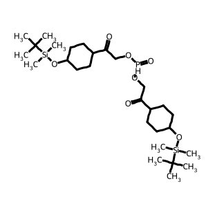 CC(C)(C)[Si](C)(C)OC1CCC(C(=O)CO[PH](=O)OCC(=O)C2CCC(O[Si](C)(C)C(C)(C)C)CC2)CC1